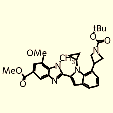 COC(=O)c1cc(OC)c2c(c1)nc(-c1cc3cccc(C4CN(C(=O)OC(C)(C)C)C4)c3n1C1CC1)n2C